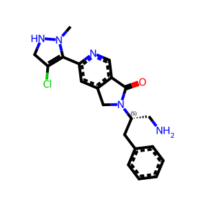 CN1NCC(Cl)=C1c1cc2c(cn1)C(=O)N([C@H](CN)Cc1ccccc1)C2